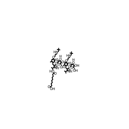 Cc1cc(OCCCNCC(C)(C)C)ccc1Cc1c(O[C@@H]2O[C@H](CO)[C@@H](O)[C@H](O)[C@H]2O)n[nH]c1C(C)C.Cc1cc(OCCCNCC(C)(C)C)ccc1Cc1c(O[C@@H]2O[C@H](CO)[C@@H](O)[C@H](O)[C@H]2O)n[nH]c1C(C)C.O=C(O)CCCCCCCCC(=O)O